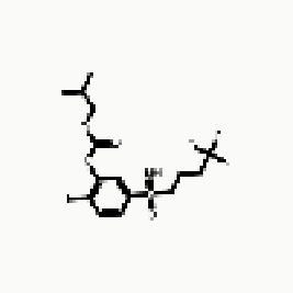 CC(C)COC(=O)Nc1cc(S(=N)(=O)CCCC(F)(F)F)ccc1I